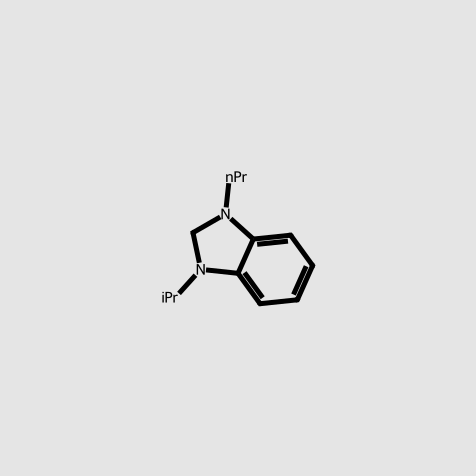 CCCN1CN(C(C)C)c2ccccc21